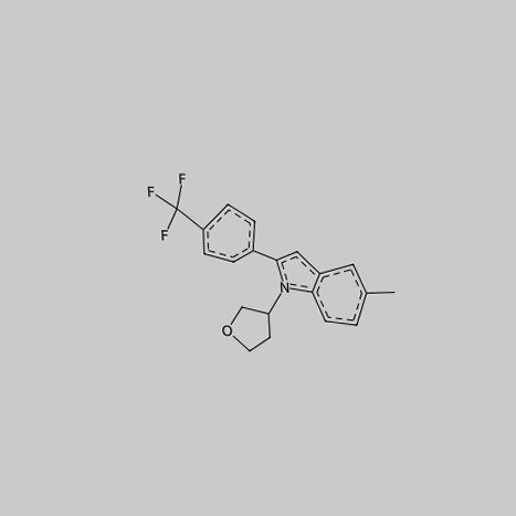 Cc1ccc2c(c1)cc(-c1ccc(C(F)(F)F)cc1)n2C1CCOC1